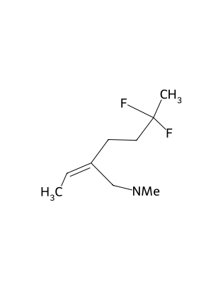 C/C=C(/CCC(C)(F)F)CNC